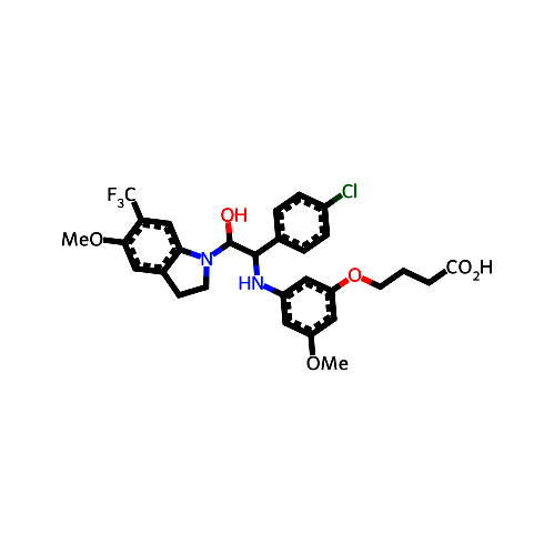 COc1cc(NC(c2ccc(Cl)cc2)C(O)N2CCc3cc(OC)c(C(F)(F)F)cc32)cc(OCCCC(=O)O)c1